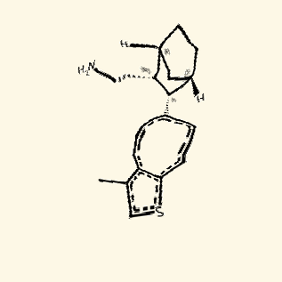 Cc1csc2ccc([C@H]3[C@H]4CC[C@H](C4)[C@H]3CN)cc12